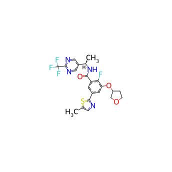 Cc1cnc(-c2cc(OC3CCOC3)c(F)c(C(=O)N[C@H](C)c3cnc(C(F)(F)F)nc3)c2)s1